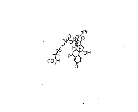 CCCC1O[C@@H]2CC3[C@@H]4C[C@H](F)C5=CC(=O)C=C[C@]5(C)[C@@]4(F)[C@@H](O)C[C@]3(C)[C@]2(C(=O)COC(=O)N(C)CCSSC(C)(C)CC(=O)O)O1